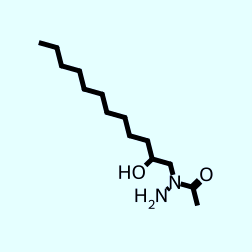 CCCCCCCCCCC(O)CN(N)C(C)=O